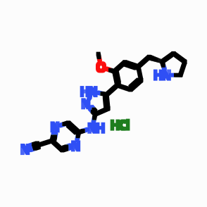 COc1cc(C[C@H]2CCCN2)ccc1-c1cc(Nc2cnc(C#N)cn2)n[nH]1.Cl